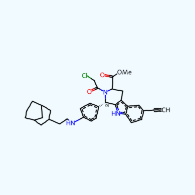 C#Cc1ccc2[nH]c3c(c2c1)CC(C(=O)OC)N(C(=O)CCl)[C@H]3c1ccc(NCCC2CC3CCCC(C3)C2)cc1